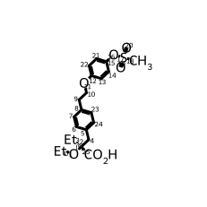 CCO[C@@](CC)(Cc1ccc(CCOc2ccc(OS(C)(=O)=O)cc2)cc1)C(=O)O